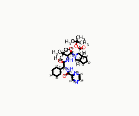 CC(C)(C)OC(=O)[C@@H]1[C@H]2CCC[C@H]2CN1C(=O)[C@@H](NC(=O)[C@H](NC(=O)c1cnccn1)C1CCCCC1)C(C)(C)C